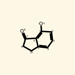 [O]c1cccc2c1C(=O)CC2